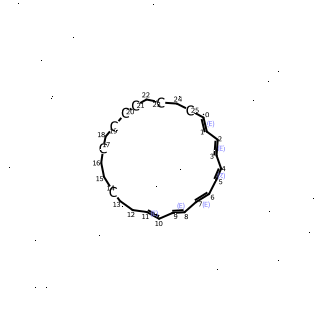 [C]1=C/C=C/C=C\C=C\C=C\C=C\CCCCCCCCCCCCCC/1